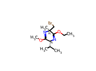 CCOC1=N[C@H](C(C)C)C(OC)=N[C@@]1(C)CBr